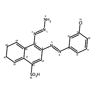 NN=Nc1c(/N=N/c2cccc(Cl)c2)cc(S(=O)(=O)O)c2c1=CCCC=2